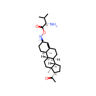 CC(=O)[C@H]1CC[C@H]2[C@@H]3CCC4=C/C(=N\OC(=O)[C@@H](N)C(C)C)CC[C@]4(C)[C@H]3CC[C@]12C